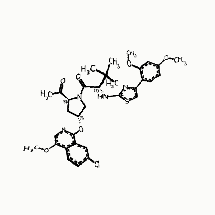 COc1ccc(-c2csc(N[C@H](C(=O)N3C[C@H](Oc4ncc(OC)c5ccc(Cl)cc45)C[C@H]3C(C)=O)C(C)(C)C)n2)c(OC)c1